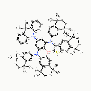 CC1(C)CCC(C)(C)c2cc(N3c4cc5c(cc4B4c6sc7cc8c(cc7c6N(c6ccc7c(c6)C(C)(C)CCC7(C)C)c6cc(N7c9ccccc9C(C)(C)c9ccccc97)cc3c64)C(C)(C)CCC8(C)C)C(C)(C)CCC5(C)C)ccc21